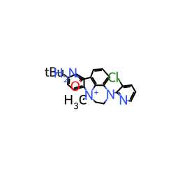 CC(C)(C)c1ccc([N+]2(C)CCN(c3ncccc3Cl)c3cccc(C(N)=O)c32)cc1